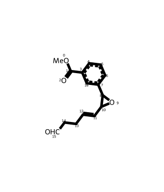 COC(=O)c1cccc(C2OC2C=CCCC=O)c1